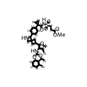 COC(=O)CCS(=O)(=O)NC(=O)C1(c2ccc(C3NCC34CC(c3onc(C)c3NC(=O)OC(C)c3ccccc3C)C4)cc2)CC1